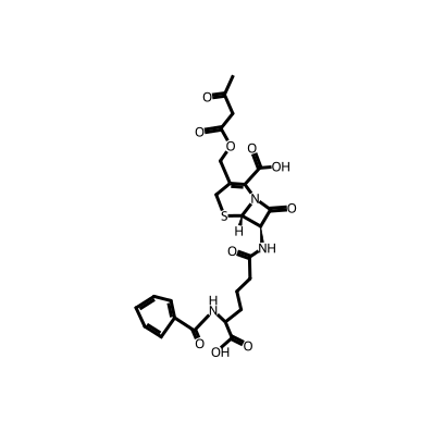 CC(=O)CC(=O)OCC1=C(C(=O)O)N2C(=O)[C@@H](NC(=O)CCCC(NC(=O)c3ccccc3)C(=O)O)[C@@H]2SC1